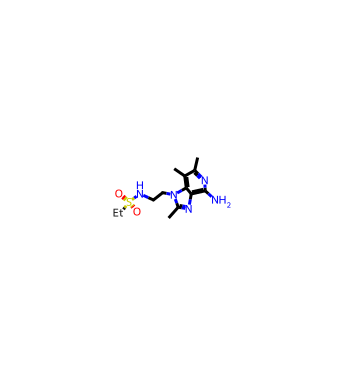 CCS(=O)(=O)NCCn1c(C)nc2c(N)nc(C)c(C)c21